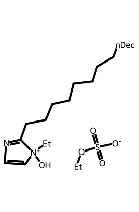 CCCCCCCCCCCCCCCCCCC1=NC=C[N+]1(O)CC.CCOS(=O)(=O)[O-]